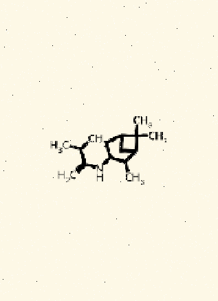 C=C(NC1CC2CC(C1C)C2(C)C)C(C)C